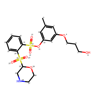 Cc1cc(OCCCO)cc(OS(=O)(=O)c2ccccc2S(=O)(=O)C2CNCCO2)c1